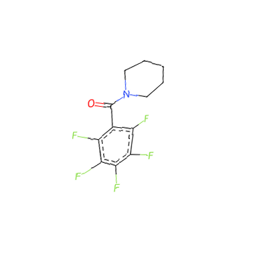 O=C(c1c(F)c(F)c(F)c(F)c1F)N1CCCCC1